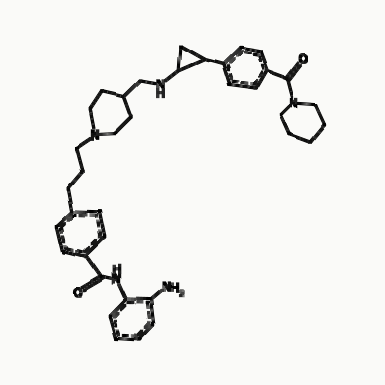 Nc1ccccc1NC(=O)c1ccc(CCCN2CCC(CNC3CC3c3ccc(C(=O)N4CCCCC4)cc3)CC2)cc1